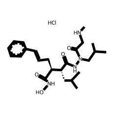 CNCC(=O)N(CC(C)C)NC(=O)[C@H](CC(C)C)[C@H](CC=Cc1ccccc1)C(=O)NO.Cl